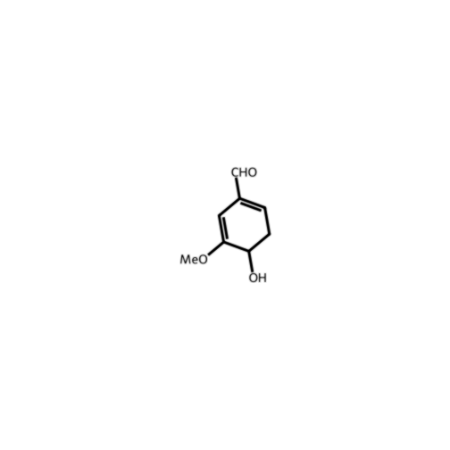 COC1=CC(C=O)=CCC1O